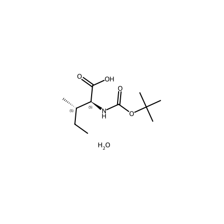 CC[C@H](C)[C@H](NC(=O)OC(C)(C)C)C(=O)O.O